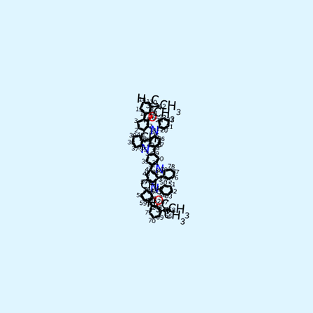 Cc1ccc2c(oc3c(C(C)(C)C)cccc32)c1N(c1ccccc1)c1ccc2c3cc4c(cc3n3c5ccccc5c1c23)c1ccc(N(c2ccccc2)c2c(C)ccc3c2oc2c(C(C)(C)C)cccc23)c2c3ccccc3n4c12